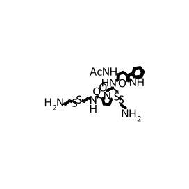 CC(=O)N[C@@H](Cc1c[nH]c2ccccc12)C(=O)N[C@@H](CSSCCN)C(=O)N1CCC[C@H]1C(=O)NCCSSCCN